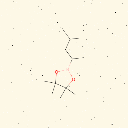 CC(C)CC(C)B1OC(C)(C)C(C)(C)O1